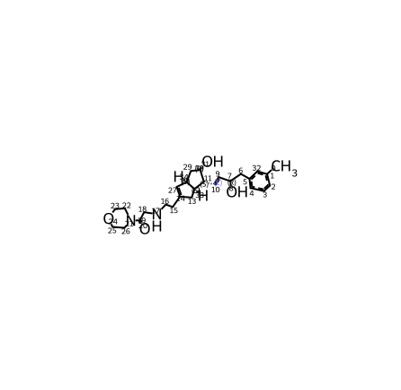 Cc1cccc(C[C@@H](O)/C=C/[C@@H]2[C@H]3CC(CCNCC(=O)N4CCOCC4)=C[C@H]3C[C@H]2O)c1